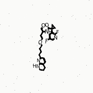 O=CC(CCOCCCCc1ccc2c(n1)NCCC2)NC(=O)C1(c2cc(F)cnc2F)CC1